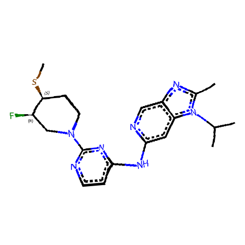 CS[C@H]1CCN(c2nccc(Nc3cc4c(cn3)nc(C)n4C(C)C)n2)C[C@H]1F